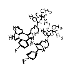 CC(C)(C)OC(=O)N1CCn2nc(-c3ccc(F)cc3)c(-c3ccnc4[nH]ccc34)c2C1.CC(C)(C)OC(=O)N1CCn2nc(-c3ccc(F)cc3)c(Br)c2C1